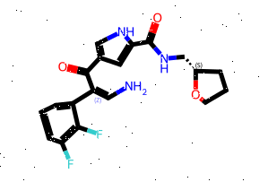 N/C=C(\C(=O)c1c[nH]c(C(=O)NC[C@@H]2CCCO2)c1)c1cccc(F)c1F